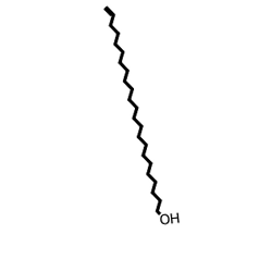 C=CCCCCCCCCCCCCCCCCCCCCCO